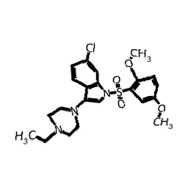 CCN1CCN(c2cn(S(=O)(=O)c3cc(OC)ccc3OC)c3cc(Cl)ccc23)CC1